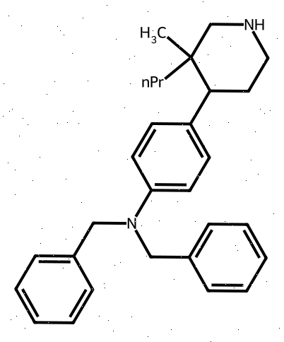 CCCC1(C)CNCCC1c1ccc(N(Cc2ccccc2)Cc2ccccc2)cc1